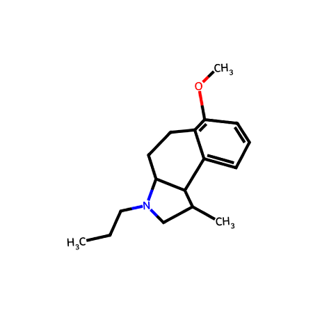 CCCN1CC(C)C2c3cccc(OC)c3CCC21